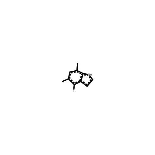 Cc1cc(C)c2[nH]ccc2c1F